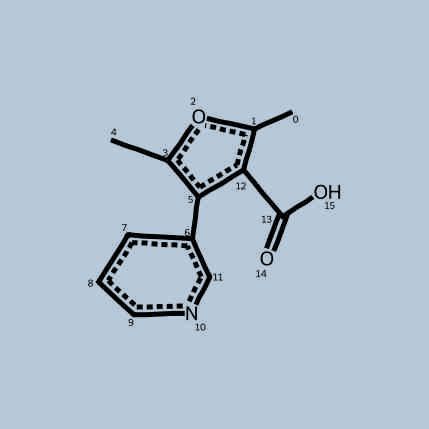 Cc1oc(C)c(-c2cccnc2)c1C(=O)O